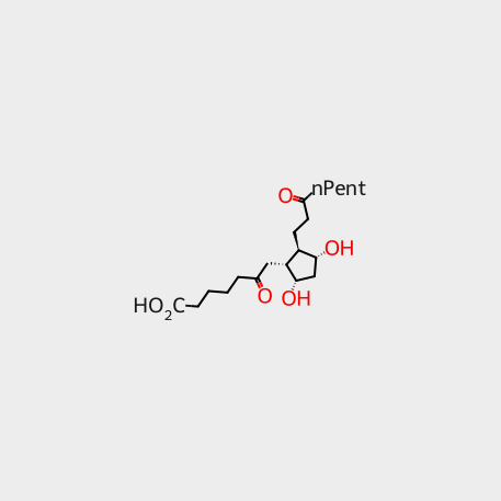 CCCCCC(=O)CC[C@@H]1[C@@H](CC(=O)CCCCC(=O)O)[C@@H](O)C[C@H]1O